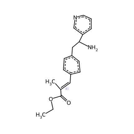 CCOC(=O)/C(C)=C/c1ccc(CC(N)c2cccnc2)cc1